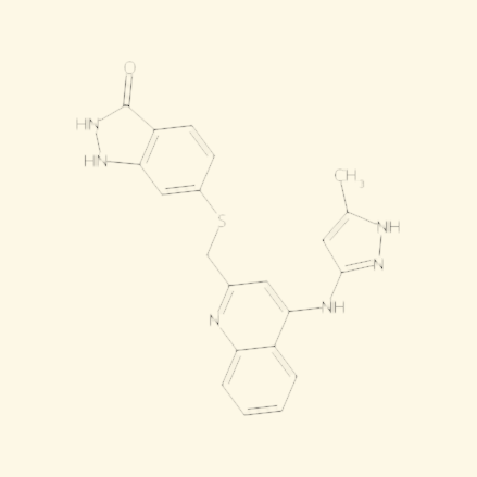 Cc1cc(Nc2cc(CSc3ccc4c(=O)[nH][nH]c4c3)nc3ccccc23)n[nH]1